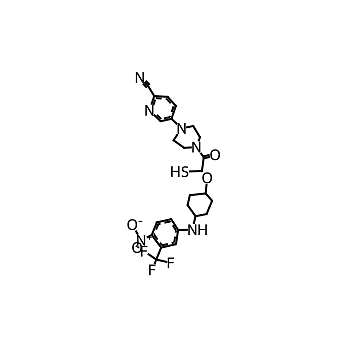 N#Cc1ccc(N2CCN(C(=O)C(S)OC3CCC(Nc4ccc([N+](=O)[O-])c(C(F)(F)F)c4)CC3)CC2)cn1